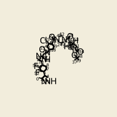 Cc1n[nH]cc1-c1ccc(-c2cnc(C(=O)Nc3ccc(C(=O)N4CCN(C(=O)[C@H]5[C@@H]6CN(C(=O)OC(C)(C)C)C[C@@H]65)CC4)c(Cl)c3)n2C)c(F)c1F